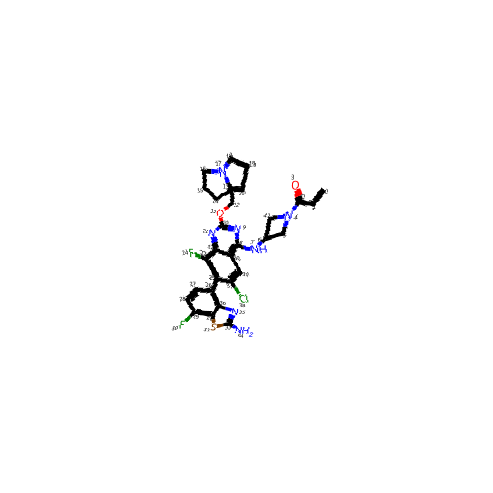 C=CC(=O)N1CC(Nc2nc(OCC34CCCN3CCC4)nc3c(F)c(-c4ccc(F)c5sc(N)nc45)c(Cl)cc23)C1